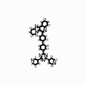 c1cncc(-c2nc(-c3ccncc3)nc(-c3ccc(-c4ccc(-c5nc6ccccc6c6nc7ccccn7c56)cc4)cc3)n2)c1